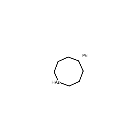 C1CCC[AsH]CCC1.[Pb]